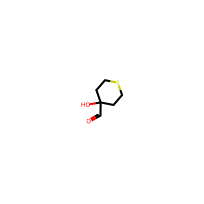 O=CC1(O)CCSCC1